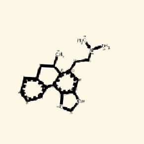 CC1Cc2ccccc2-c2c3c(cc(CCN(C)C)c21)OCO3